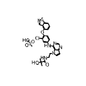 CC(C)(O)C(=O)NCCn1ccc2ncnc(Nc3ccc(Oc4cccc5sncc45)c(Cl)c3)c21.CS(=O)(=O)O